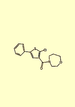 O=C(c1cc(-c2ccccc2)sc1Cl)N1CCCOCC1